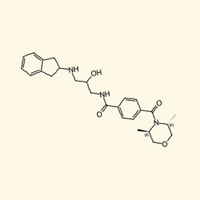 C[C@@H]1COC[C@@H](C)N1C(=O)c1ccc(C(=O)NCC(O)CNC2Cc3ccccc3C2)cc1